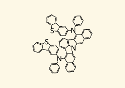 c1ccc(N(c2ccc3sc4ccccc4c3c2)c2c3ccccc3cc3c2c2cccc4c5c(N(c6ccccc6)c6ccc7sc8ccccc8c7c6)c6ccccc6cc5n3c24)cc1